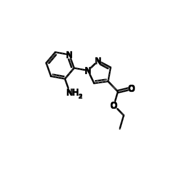 CCOC(=O)c1cnn(-c2ncccc2N)c1